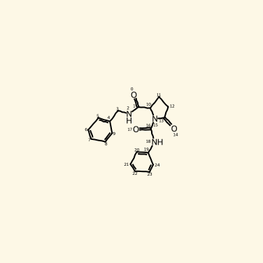 O=C(NCc1ccccc1)C1CCC(=O)N1C(=O)Nc1ccccc1